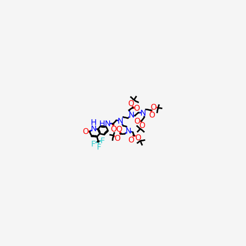 CC(C)(C)OC(=O)CN(CCN(CCN(CC(=O)OC(C)(C)C)CC(=O)OC(C)(C)C)CC(=O)Nc1ccc2c(C(F)(F)F)cc(=O)[nH]c2c1)CCN(CC(=O)OC(C)(C)C)CC(=O)OC(C)(C)C